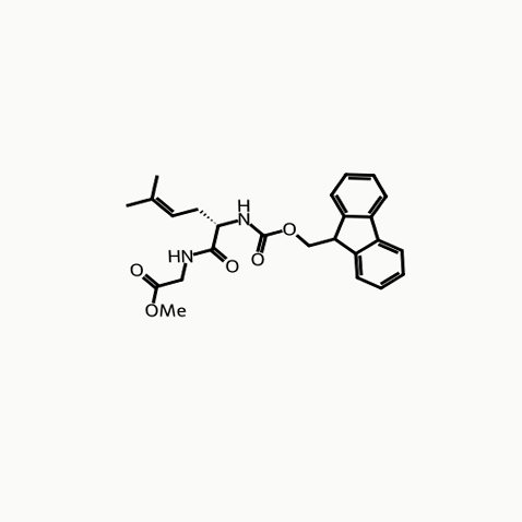 COC(=O)CNC(=O)[C@H](CC=C(C)C)NC(=O)OCC1c2ccccc2-c2ccccc21